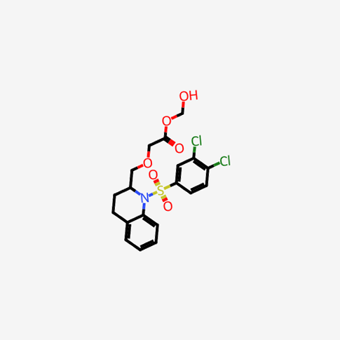 O=C(COCC1CCc2ccccc2N1S(=O)(=O)c1ccc(Cl)c(Cl)c1)OCO